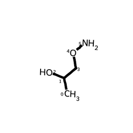 CC(O)CON